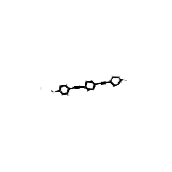 CCCCCCSc1ccc(C#Cc2ccc(C#CC3=CC=C(C)CC3)cc2)cc1